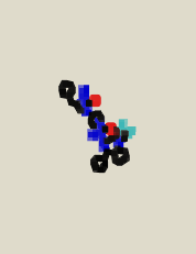 O=C(N[C@@H]1N=C(c2ccccc2)c2ccccc2N(CC(F)(F)F)C1=O)N1CCC(N2CC(Cc3ccccc3)NC2=O)CC1